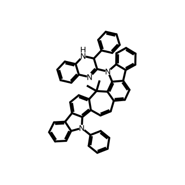 CC1(C)c2ccc3c4ccccc4n(-c4ccccc4)c3c2C=Cc2ccc3c4ccccc4n(C4=Nc5ccccc5NC4c4ccccc4)c3c21